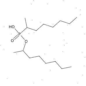 CCCCCCC(C)OP(=O)(O)C(C)CCCCCC